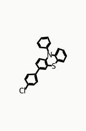 Clc1ccc(-c2ccc3c(c2)Sc2ccccc2N3c2ccccc2)cc1